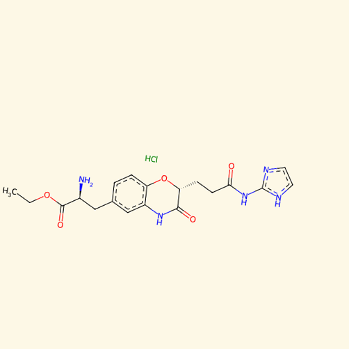 CCOC(=O)[C@@H](N)Cc1ccc2c(c1)NC(=O)[C@@H](CCC(=O)Nc1ncc[nH]1)O2.Cl